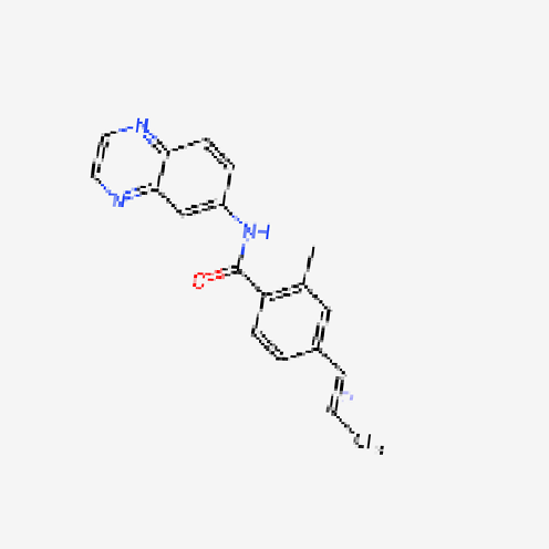 Cc1cc(/C=C/C(F)(F)F)ccc1C(=O)Nc1ccc2nccnc2c1